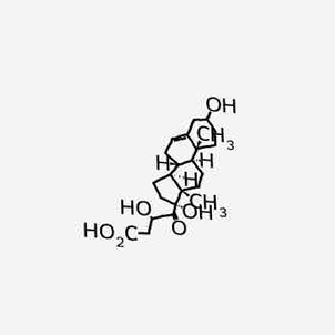 C[C@]12CCC(O)CC1=CC[C@@H]1[C@@H]2CC[C@@]2(C)[C@H]1CC[C@]2(O)C(=O)C(O)CC(=O)O